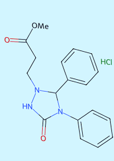 COC(=O)CCN1NC(=O)N(c2ccccc2)C1c1ccccc1.Cl